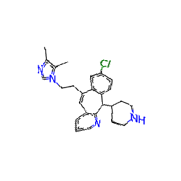 Cc1ncn(CCC2=Cc3cccnc3C(C3CCNCC3)c3ccc(Cl)cc32)c1C